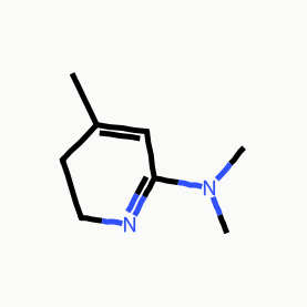 CC1=CC(N(C)C)=NCC1